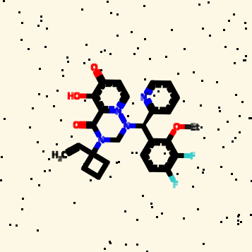 C=CC1(N2CN([C@@H](c3ccccn3)c3ccc(F)c(F)c3OCC)n3ccc(=O)c(O)c3C2=O)CCC1